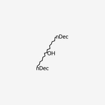 CCCCCCCCCCCCCCCCCC(O)CCCCCCCCCCCCCCCCC